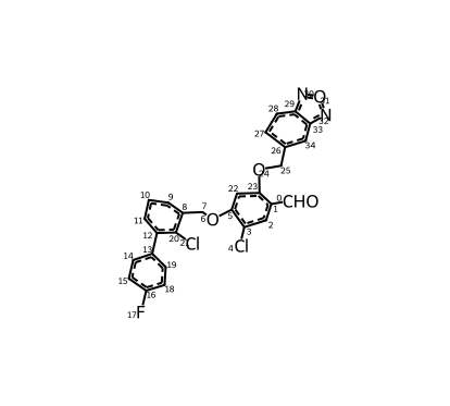 O=Cc1cc(Cl)c(OCc2cccc(-c3ccc(F)cc3)c2Cl)cc1OCc1ccc2nonc2c1